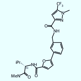 CNC(=O)[C@@H](NC(=O)c1ccc(-c2cccc(CNC(=O)c3cc(C(F)(F)F)n(C)n3)c2)o1)C(C)C